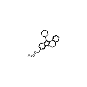 COOCc1ccc2c(C3CCCCC3)c3n(c2c1)CCc1ccccc1-3